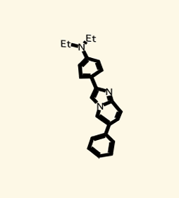 CCN(CC)c1ccc(-c2cn3cc(-c4cc[c]cc4)ccc3n2)cc1